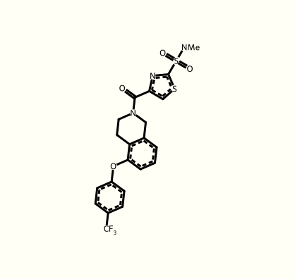 CNS(=O)(=O)c1nc(C(=O)N2CCc3c(cccc3Oc3ccc(C(F)(F)F)cc3)C2)cs1